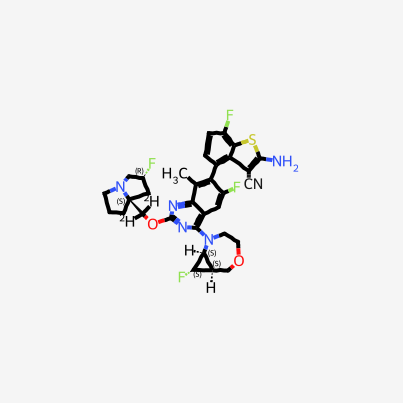 [2H]C([2H])(Oc1nc(N2CCOC[C@H]3[C@H](F)[C@H]32)c2cc(F)c(-c3ccc(F)c4sc(N)c(C#N)c34)c(C)c2n1)[C@@]12CCCN1C[C@H](F)C2